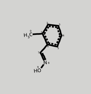 Cc1ccccc1[C]=NO